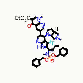 C=C(F)/C=C(\c1[nH]c2ncc(-c3cnc4c(c3)c(=O)c(C(=O)OCC)cn4C)c(N3CC[C@@H]4CN(C)CC43)c2c1F)N(C)P(=O)(OCc1ccccc1)OCc1ccccc1